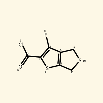 O=C(Cl)c1sc2c(c1F)CSC2